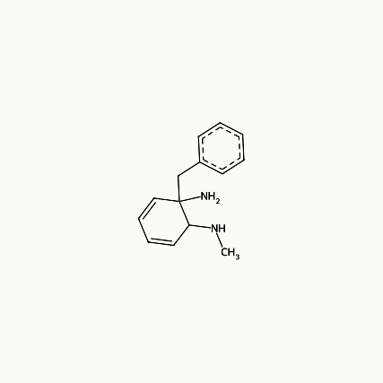 CNC1C=CC=CC1(N)Cc1ccccc1